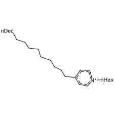 CCCCCCCCCCCCCCCCCCCc1cc[n+](CCCCCC)cc1